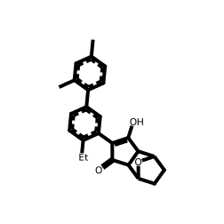 CCc1ccc(-c2ccc(C)cc2C)cc1C1=C(O)C2C3CCC(O3)C2C1=O